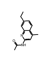 CCc1ccc2c(C)cc(NC(C)=O)nc2c1